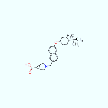 CC(C)(C)C1CCC(Oc2ccc3cc(CN4CC5C(C4)C5C(=O)O)ccc3c2)CC1